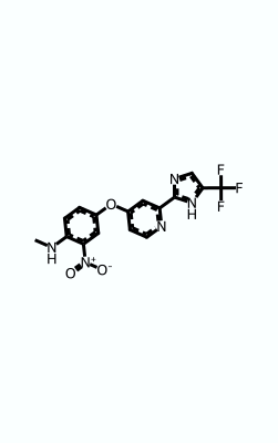 CNc1ccc(Oc2ccnc(-c3ncc(C(F)(F)F)[nH]3)c2)cc1[N+](=O)[O-]